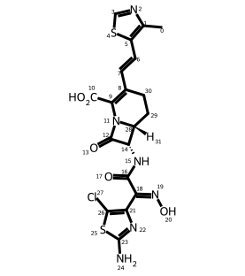 Cc1ncsc1C=CC1=C(C(=O)O)N2C(=O)[C@@H](NC(=O)C(=NO)c3nc(N)sc3Cl)[C@H]2CC1